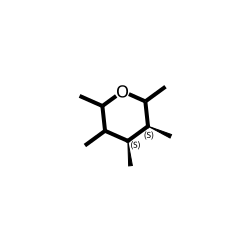 CC1OC(C)[C@@H](C)[C@@H](C)C1C